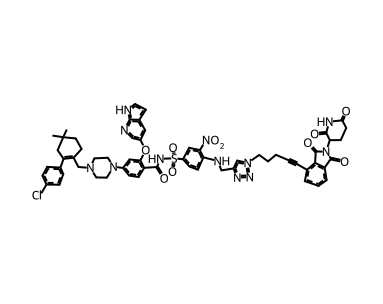 CC1(C)CCC(CN2CCN(c3ccc(C(=O)NS(=O)(=O)c4ccc(NCc5cn(CCCC#Cc6cccc7c6C(=O)N(C6CCC(=O)NC6=O)C7=O)nn5)c([N+](=O)[O-])c4)c(Oc4cnc5[nH]ccc5c4)c3)CC2)=C(c2ccc(Cl)cc2)C1